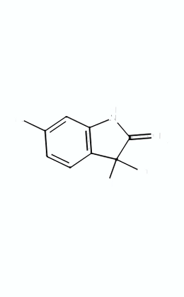 C=C1Nc2cc(Cl)ccc2C1(C)C(C)C